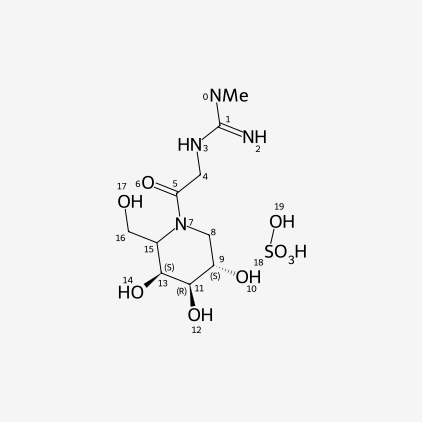 CNC(=N)NCC(=O)N1C[C@H](O)[C@@H](O)[C@@H](O)C1CO.O=S(=O)(O)O